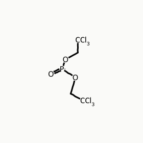 O=[P](OCC(Cl)(Cl)Cl)OCC(Cl)(Cl)Cl